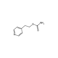 NC(=O)OCCc1ccncc1